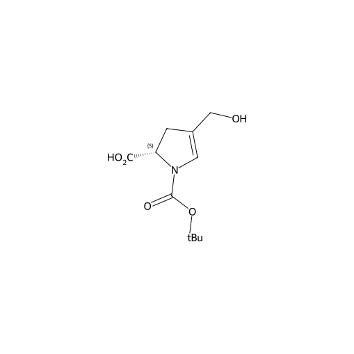 CC(C)(C)OC(=O)N1C=C(CO)C[C@H]1C(=O)O